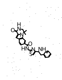 CC1(C)CNC(=O)c2cc3ccc(C(=O)Nc4nc([C@@H](N)Cc5ccccc5)cs4)cc3n21